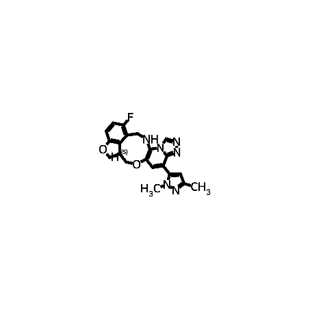 Cc1cc(-c2cc3c(n4cnnc24)NCc2c(F)ccc4c2[C@@H](CO4)CO3)n(C)n1